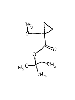 CC(C)(C)OC(=O)C1(ON)CC1